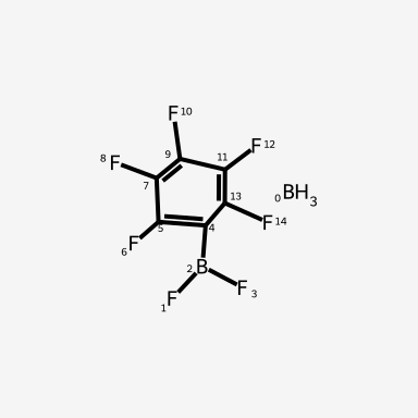 B.FB(F)c1c(F)c(F)c(F)c(F)c1F